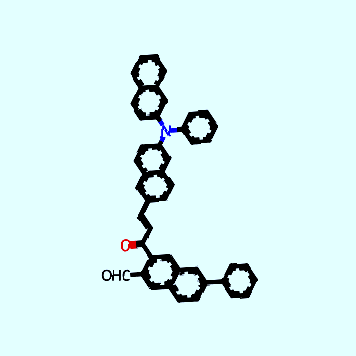 O=Cc1cc2ccc(-c3ccccc3)cc2cc1C(=O)C=Cc1ccc2cc(N(c3ccccc3)c3ccc4ccccc4c3)ccc2c1